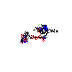 COc1cc(CCN(C)C(=O)CCOCCOCCOCC#Cc2cccc3c2C(=O)N(C2CCC(=O)NC2=O)C3=O)c(C)cc1Nc1ncc(Cl)c(Nc2ccccc2S(=O)(=O)C(C)C)n1